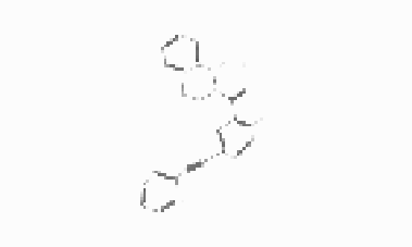 CC1c2ccccc2CCN1C(=O)c1cc(C#Cc2ccccn2)ccc1F